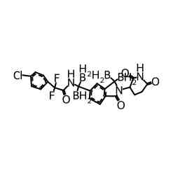 BC(B)(NC(=O)C(F)(F)c1ccc(Cl)cc1)c1ccc2c(c1)C(B)(B)N(C1CCC(=O)NC1=O)C2=O